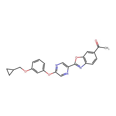 CC(=O)c1ccc2nc(-c3cnc(Oc4cccc(OCC5CC5)c4)cn3)oc2c1